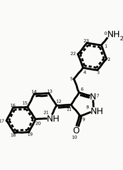 Nc1ccc(CC2=NNC(=O)C2=C2C=Cc3ccccc3N2)cc1